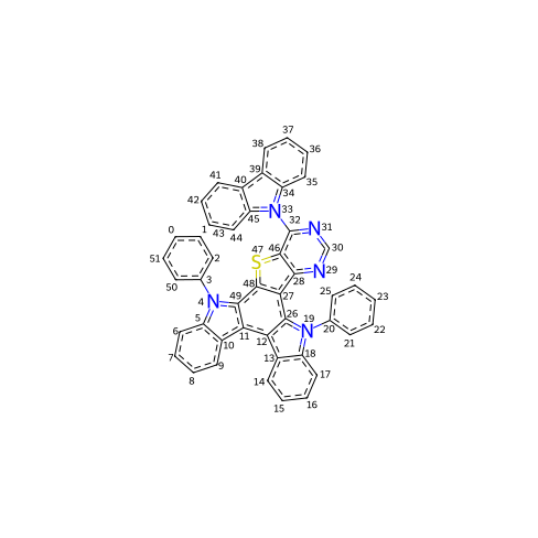 c1ccc(-n2c3ccccc3c3c4c5ccccc5n(-c5ccccc5)c4c4c5ncnc(-n6c7ccccc7c7ccccc76)c5sc4c32)cc1